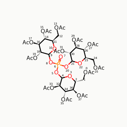 CC(=O)OC[C@H]1OC(OP(=O)(OC2O[C@H](COC(C)=O)[C@@H](OC(C)=O)[C@H](OC(C)=O)[C@H]2OC(C)=O)OC2O[C@H](COC(C)=O)[C@@H](OC(C)=O)[C@H](OC(C)=O)[C@H]2OC(C)=O)[C@H](OC(C)=O)[C@@H](OC(C)=O)[C@@H]1OC(C)=O